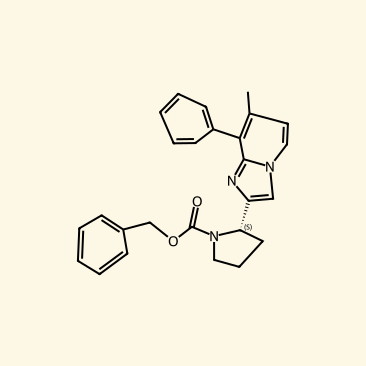 Cc1ccn2cc([C@@H]3CCCN3C(=O)OCc3ccccc3)nc2c1-c1ccccc1